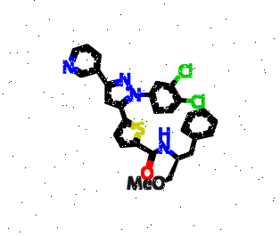 COC[C@H](Cc1ccccc1)NC(=O)c1ccc(-c2cc(-c3cccnc3)nn2-c2ccc(Cl)c(Cl)c2)s1